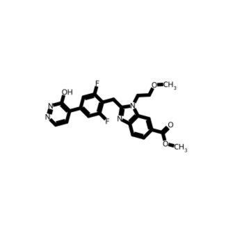 COCCn1c(Cc2c(F)cc(-c3ccnnc3O)cc2F)nc2ccc(C(=O)OC)cc21